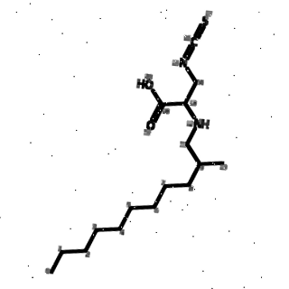 CCCCCCCCCC(C)CNC(CN=C=S)C(=O)O